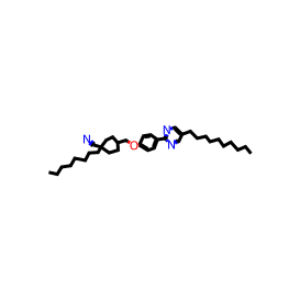 CCCCCCCCCCc1cnc(-c2ccc(OCC3CCC(C#N)(CCCCCCCC)CC3)cc2)nc1